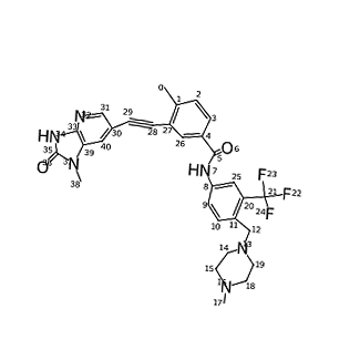 Cc1ccc(C(=O)Nc2ccc(CN3CCN(C)CC3)c(C(F)(F)F)c2)cc1C#Cc1cnc2[nH]c(=O)n(C)c2c1